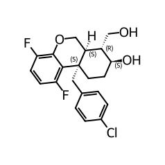 OC[C@@H]1[C@@H](O)CC[C@@]2(Cc3ccc(Cl)cc3)c3c(F)ccc(F)c3OC[C@@H]12